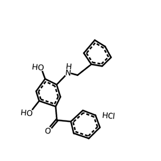 Cl.O=C(c1ccccc1)c1cc(NCc2ccccc2)c(O)cc1O